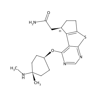 CN[C@]1(C)CC[C@@H](Oc2ncnc3sc4c(c23)[C@@H](CC(N)=O)CC4)CC1